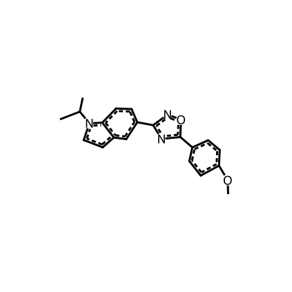 COc1ccc(-c2nc(-c3ccc4c(ccn4C(C)C)c3)no2)cc1